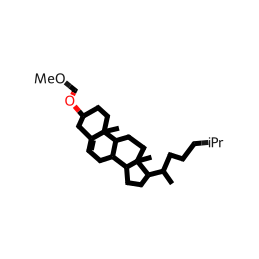 COCOC1CCC2(C)C(=CCC3C2CCC2(C)C(C(C)CCCC(C)C)CCC32)C1